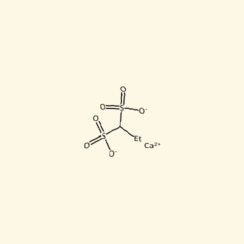 CCC(S(=O)(=O)[O-])S(=O)(=O)[O-].[Ca+2]